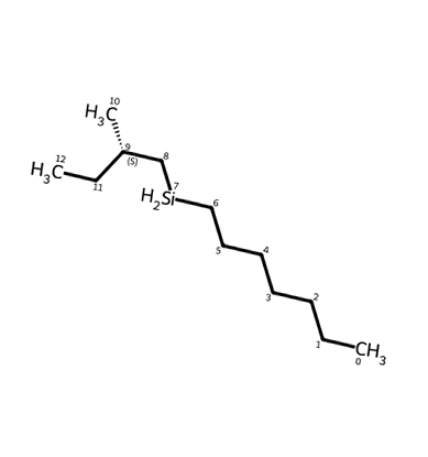 CCCCCCC[SiH2]C[C@@H](C)CC